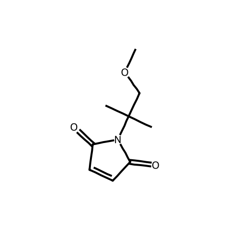 COCC(C)(C)N1C(=O)C=CC1=O